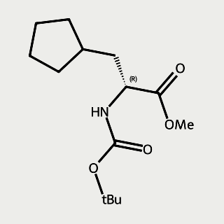 COC(=O)[C@@H](CC1CCCC1)NC(=O)OC(C)(C)C